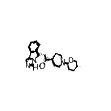 O[C@@H](C[C@H]1c2ccccc2-c2cncn21)C1CCN(C2CC[CH]CO2)CC1